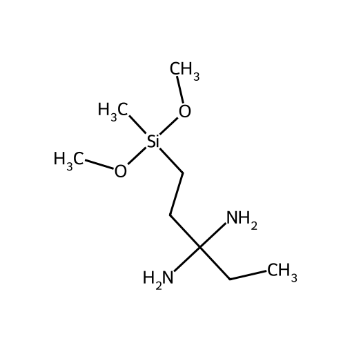 CCC(N)(N)CC[Si](C)(OC)OC